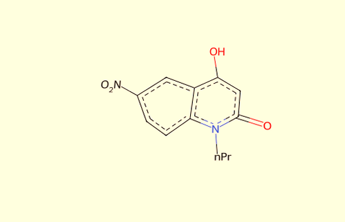 CCCn1c(=O)cc(O)c2cc([N+](=O)[O-])ccc21